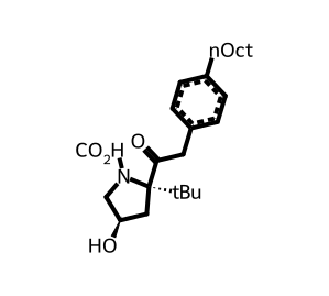 CCCCCCCCc1ccc(CC(=O)[C@@]2(C(C)(C)C)C[C@@H](O)CN2C(=O)O)cc1